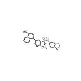 Cc1nnc(-c2ccc(O)c3ccccc23)cc1S(=O)(=O)Nc1ccc2c(c1)CCO2